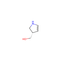 OC[C@H]1C=CNC1